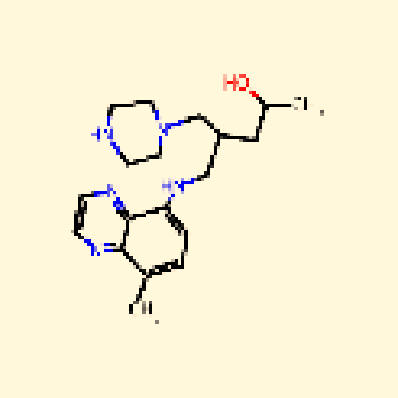 Cc1ccc(NCC(CC(C)O)CN2CCNCC2)c2nccnc12